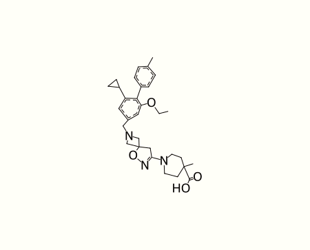 CCOc1cc(CN2CC3(CC(N4CCC(C)(C(=O)O)CC4)=NO3)C2)cc(C2CC2)c1-c1ccc(C)cc1